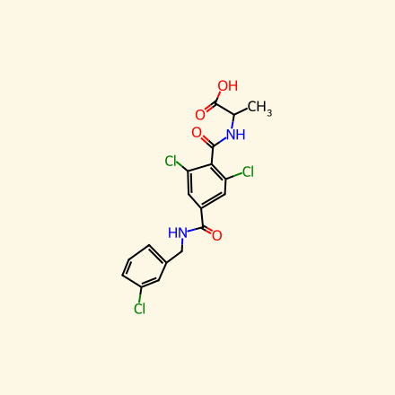 CC(NC(=O)c1c(Cl)cc(C(=O)NCc2cccc(Cl)c2)cc1Cl)C(=O)O